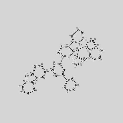 c1ccc(-c2nc(-c3ccc4c(c3)C3(c5ccccc5-4)c4ccccc4-c4cccc5cccc3c45)nc(-c3ccc4oc5ccccc5c4c3)n2)cc1